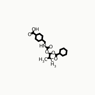 CC(C)C(OC(=O)NCC1CCC(C(=O)O)CC1)OC(=O)C1CCCCC1